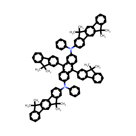 CC1(C)c2ccccc2-c2ccc(-c3c4ccc(N(c5ccccc5)c5ccc6c(c5)C(C)(C)c5cc7c(cc5-6)C(C)(C)c5ccccc5-7)cc4c(-c4ccc5c(c4)C(C)(C)c4ccccc4-5)c4ccc(N(c5ccccc5)c5ccc6c(c5)C(C)(C)c5cc7c(cc5-6)C(C)(C)c5ccccc5-7)cc34)cc21